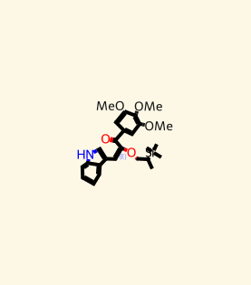 COc1cc(C(=O)/C(=C\c2c[nH]c3ccccc23)OCC(C)[Si](C)(C)C)cc(OC)c1OC